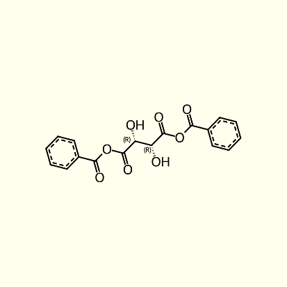 O=C(OC(=O)[C@H](O)[C@@H](O)C(=O)OC(=O)c1ccccc1)c1ccccc1